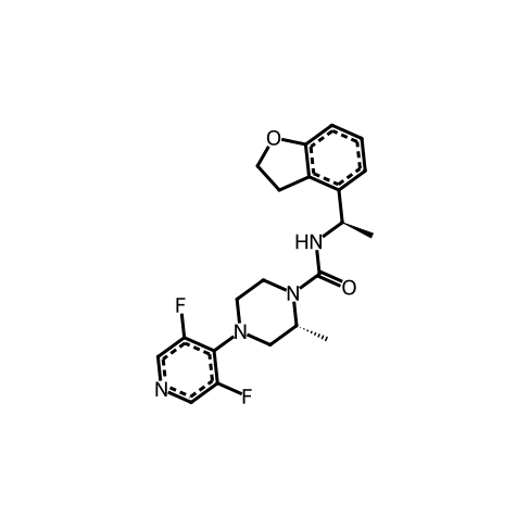 C[C@@H]1CN(c2c(F)cncc2F)CCN1C(=O)N[C@H](C)c1cccc2c1CCO2